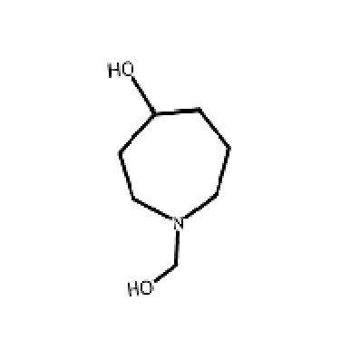 OCN1CCCC(O)CC1